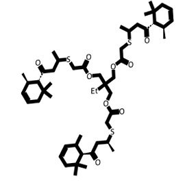 CCC(COC(=O)CSC(C)CC(=O)[C@H]1[C@H](C)C=CCC1(C)C)(COC(=O)CSC(C)CC(=O)[C@H]1[C@H](C)C=CCC1(C)C)COC(=O)CS[C@@H](C)CC(=O)[C@@H]1C(C)C=CCC1(C)C